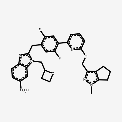 Cn1nc(COc2cccc(-c3cc(F)c(Cc4nc5ccc(C(=O)O)cc5n4CC4CCO4)cc3F)n2)c2c1CCC2